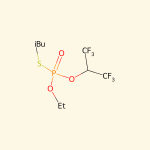 CCOP(=O)(OC(C(F)(F)F)C(F)(F)F)SC(C)CC